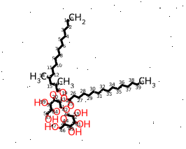 C=CCCCCCCCCCCC[C@H](C)C[C@H](C)C(=O)OC1C(OC(=O)CCCCCCCCCCCCCCC)[C@@H](O[C@H]2OC(CO)[C@@H](O)C(O)C2O)OC(CO)[C@H]1O